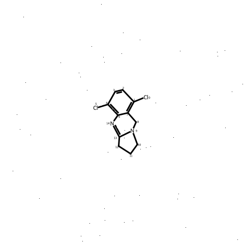 Clc1ccc(Cl)c2c1CN1CCCC1=N2